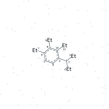 CC[C](CC)c1ccc(CC)c(CC)c1CC